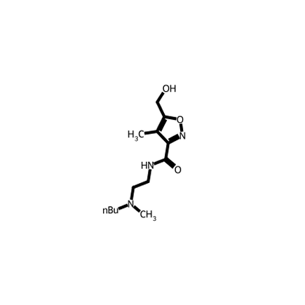 CCCCN(C)CCNC(=O)c1noc(CO)c1C